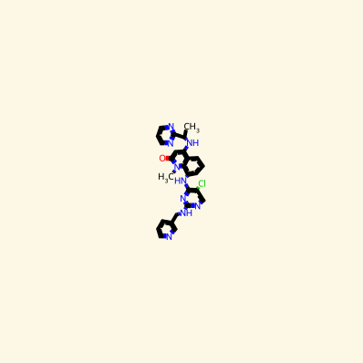 CC(Nc1cc(=O)n(C)c2c(Nc3nc(NCc4cccnc4)ncc3Cl)cccc12)c1ncccn1